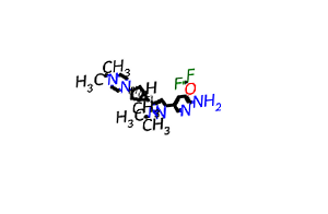 CC(C)N1CCN([C@H]2C[C@H]3[C@H](c4cc(-c5cnc(N)c(OC(F)F)c5)nn4C(C)C)C3(C)C2)CC1